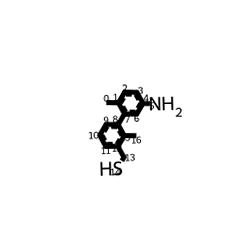 Cc1ccc(N)cc1-c1cccc(CS)c1C